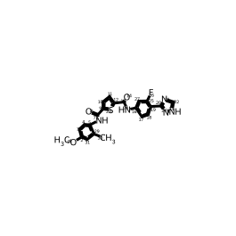 COc1ccc(NC(=O)c2ccc(C(=O)Nc3ccc(-c4nc[nH]n4)c(F)c3)s2)c(C)c1